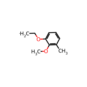 [CH2]COc1cccc(C)c1OC